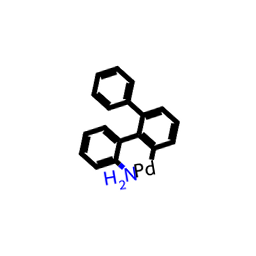 Nc1ccccc1-c1[c]([Pd])cccc1-c1ccccc1